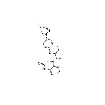 CCC(Oc1ccc(-n2cc(C)cn2)cc1)C(=O)N1CC(=O)Nc2cccnc21